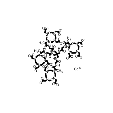 CC(C(=O)NCC(=O)NCC(CNC(=O)CNC(=O)C(C)N1CCN(CC(=O)[O-])CCN(CC(=O)[O-])CCN(CC(=O)[O-])CC1)(CNC(=O)CNC(=O)C(C)N1CCN(CC(=O)[O-])CCN(CC(=O)[O-])CCN(CC(=O)[O-])CC1)CNC(=O)CNC(=O)C(C)N1CCN(CC(=O)[O-])CCN(CC(=O)[O-])CCN(CC(=O)[O-])CC1)N1CCN(CC(=O)[O-])CCN(CC(=O)[O-])CCN(CC(=O)[O-])CC1.[Gd+3]